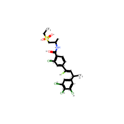 CC(CS(=O)(=O)CC(F)(F)F)NC(=O)c1ccc(/C(F)=C/C(c2cc(Cl)c(Cl)c(Cl)c2)C(F)(F)F)cc1Cl